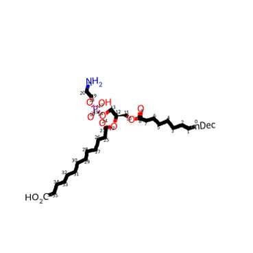 CCCCCCCCCCCCCCCCCC(=O)OC[C@H](COP(=O)(O)OCCN)OC(=O)CCCCCCCCCCCC(=O)O